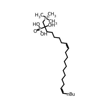 CCCC/C=C\CCCCCCCC/C=C\CCCCCC(O)(C[N+](C)(C)C)P(=O)(O)O